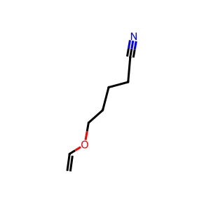 C=COCCCCC#N